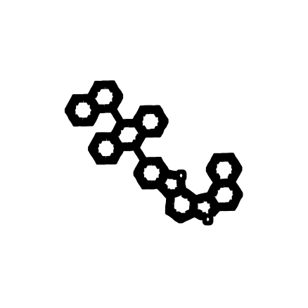 c1ccc2c(-c3c4ccccc4c(-c4ccc5c(c4)oc4c5ccc5oc6ccc7ccccc7c6c54)c4ccccc34)cccc2c1